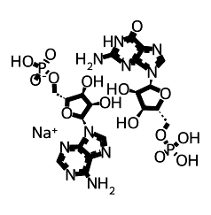 Nc1nc2c(ncn2[C@@H]2O[C@H](COP(=O)(O)O)[C@@H](O)[C@H]2O)c(=O)[nH]1.Nc1ncnc2c1ncn2[C@@H]1O[C@H](COP(=O)([O-])O)[C@@H](O)[C@H]1O.[Na+]